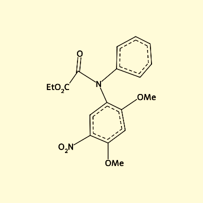 CCOC(=O)C(=O)N(c1ccccc1)c1cc([N+](=O)[O-])c(OC)cc1OC